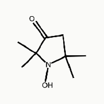 CC1(C)CC(=O)C(C)(C)N1O